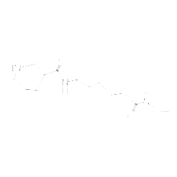 O=C(CCCCCNC(=O)C1CCCNC1)NO